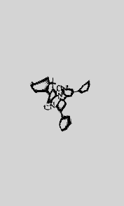 CC1(C)c2ccccc2-c2cc(C#N)c(-n3c4ccc(-c5ccccc5)cc4c4cc(-c5ccccc5)ccc43)c(C#N)c21